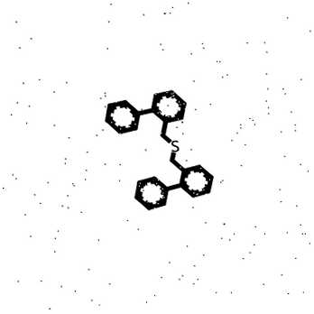 c1ccc(-c2ccccc2CSCc2ccccc2-c2ccccc2)cc1